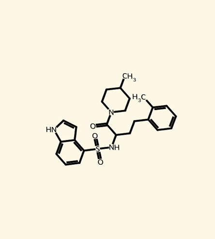 Cc1ccccc1CCC(NS(=O)(=O)c1cccc2[nH]ccc12)C(=O)N1CCC(C)CC1